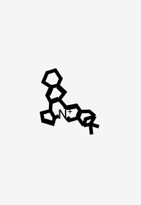 CC1(C)C2Cc3cc4[n+](cc3C1C2)C1C=CCC1c1cc2c(cc1-4)CCCC2